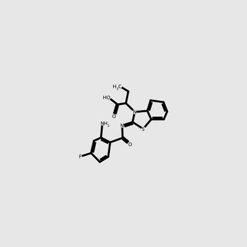 CCC(C(=O)O)n1c(=NC(=O)c2ccc(F)cc2N)sc2ccccc21